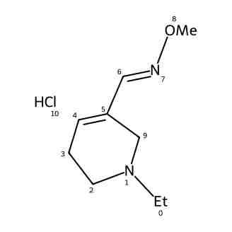 CCN1CCC=C(C=NOC)C1.Cl